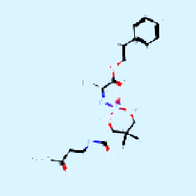 COC(=O)CCNC(=O)[C@@H]1OP(=O)(N[C@H](C(=O)OCCc2ccccc2)C(C)C)OCC1(C)C